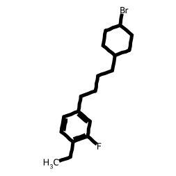 CCc1ccc(CCCCC2CCC(Br)CC2)cc1F